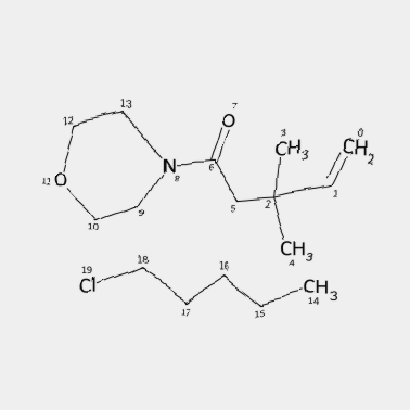 C=CC(C)(C)CC(=O)N1CCOCC1.CCCCCCl